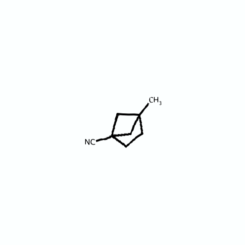 CC12CCC(C#N)(C1)C2